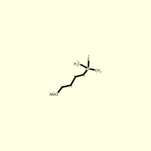 COCCCC[Si](C)(C)F